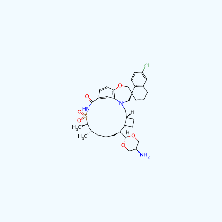 C[C@@H]1[C@@H](C)CCC[C@H]([C@H]2OC[C@H](N)CO2)[C@@H]2CC[C@H]2CN2C[C@@]3(CCCc4cc(Cl)ccc43)COc3ccc(cc32)C(=O)NS1(=O)=O